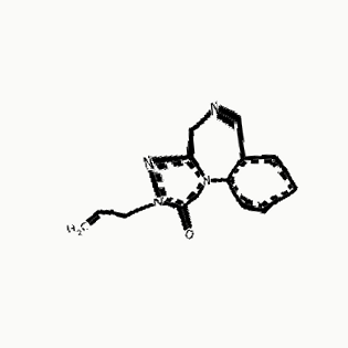 C=CCn1nc2n(c1=O)-c1ccccc1C=NC2